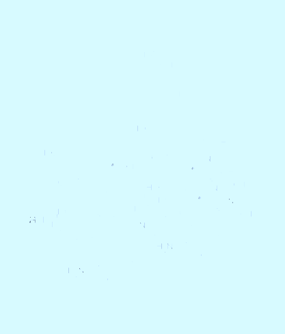 CCO.C[C@H]1c2cccc(O)c2C(=O)C2=C(O)[C@]3(O)C(=O)C(C(N)=O)=C(O)[C@@H](N(C)C)[C@@H]3[C@@H](O)[C@@H]21.C[C@H]1c2cccc(O)c2C(=O)C2=C(O)[C@]3(O)C(=O)C(C(N)=O)=C(O)[C@@H](N(C)C)[C@@H]3[C@@H](O)[C@@H]21.Cl.Cl.Cl.O